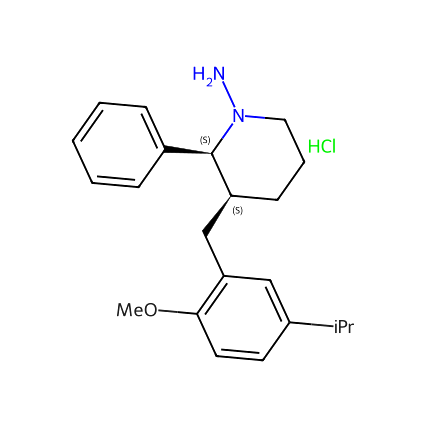 COc1ccc(C(C)C)cc1C[C@@H]1CCCN(N)[C@@H]1c1ccccc1.Cl